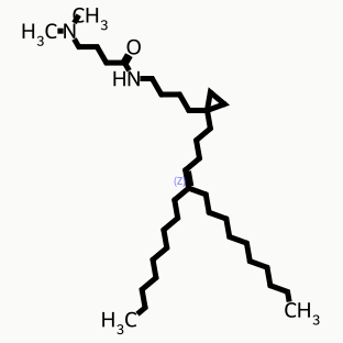 CCCCCCCCCC/C(=C\CCCC1(CCCCNC(=O)CCCN(C)C)CC1)CCCCCCCCC